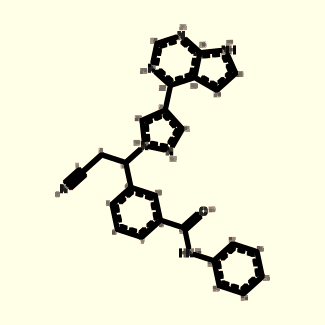 N#CCC(c1cccc(C(=O)Nc2ccccc2)c1)n1cc(-c2ncnc3[nH]ccc23)cn1